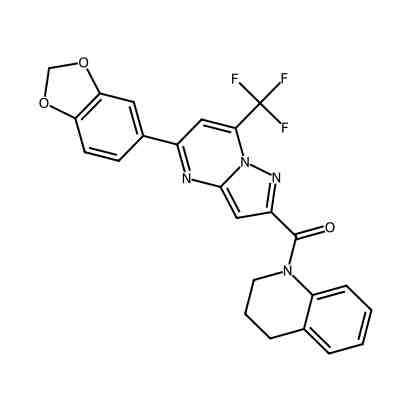 O=C(c1cc2nc(-c3ccc4c(c3)OCO4)cc(C(F)(F)F)n2n1)N1CCCc2ccccc21